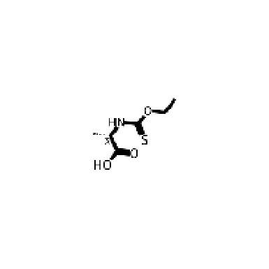 CCOC(=S)N[C@@H](C)C(=O)O